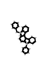 C1=Cc2c(c3c4c5ccccc5n(Cc5ccccc5)c4ccc3n2-c2ccccc2)CC1